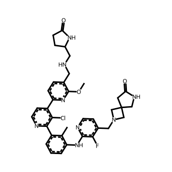 COc1nc(-c2ccnc(-c3cccc(Nc4nccc(CN5CC6(CNC(=O)C6)C5)c4F)c3C)c2Cl)ccc1CNCC1CCC(=O)N1